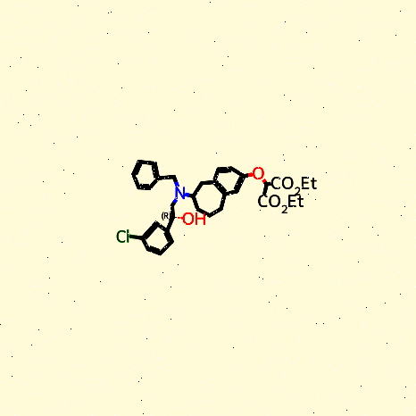 CCOC(=O)C(Oc1ccc2c(c1)CCCC(N(Cc1ccccc1)C[C@H](O)c1cccc(Cl)c1)C2)C(=O)OCC